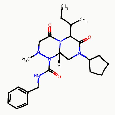 CCC(C)[C@H]1C(=O)N(C2CCCC2)C[C@H]2N1C(=O)CN(C)N2C(=O)NCc1ccccc1